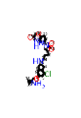 NC1(COc2cc(Cl)c3c(c2)CC(NCCCC2CN(c4ccc5c(n4)NC(=O)CO5)C(=O)O2)C3)CC1